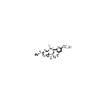 CC(C)(C)OC(=O)/N=C1/N[C@](C)(c2sc(C(=O)O)cc2Cl)CS(=O)(=O)C12CC2